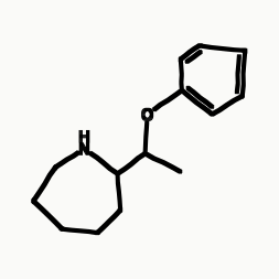 CC(Oc1ccccc1)C1CCCCCN1